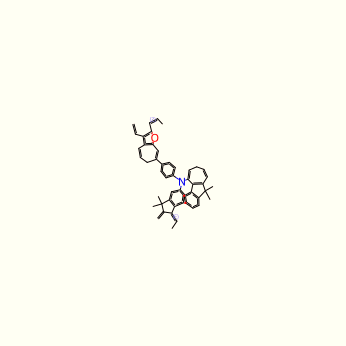 C=Cc1c(/C=C\C)oc2c1C=CCC(c1ccc(N(C3=CCC=CC4=C3c3ccccc3C4(C)C)c3ccc4c(c3)C(C)(C)C(=C)/C4=C\C)cc1)=C2